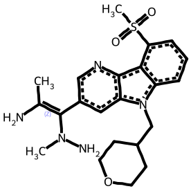 C/C(N)=C(\c1cnc2c3c(S(C)(=O)=O)cccc3n(CC3CCOCC3)c2c1)N(C)N